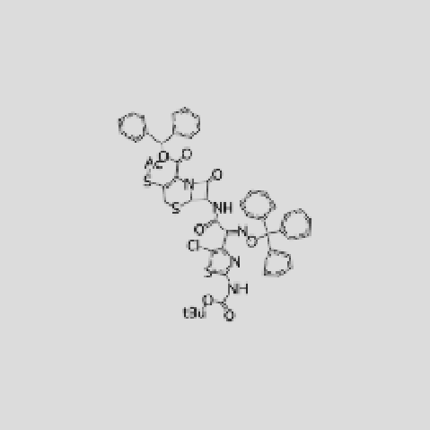 CC(=O)SC1=C(C(=O)OC(c2ccccc2)c2ccccc2)N2C(=O)C(NC(=O)C(=NOC(c3ccccc3)(c3ccccc3)c3ccccc3)c3nc(NC(=O)OC(C)(C)C)sc3Cl)C2SC1